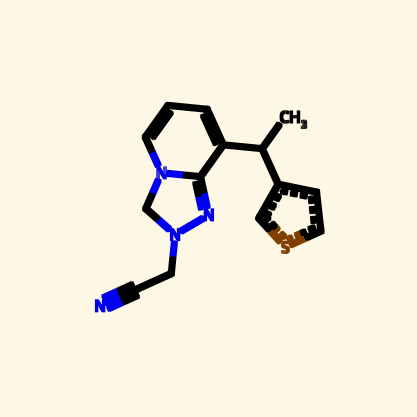 CC(C1=CC=CN2CN(CC#N)N=C12)c1ccsc1